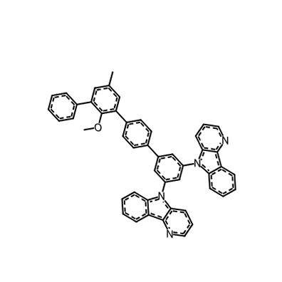 COc1c(-c2ccccc2)cc(C)cc1-c1ccc(-c2cc(-n3c4ccccc4c4ncccc43)cc(-n3c4ccccc4c4ncccc43)c2)cc1